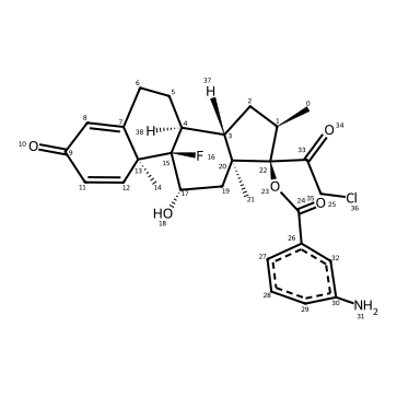 C[C@@H]1C[C@H]2[C@@H]3CCC4=CC(=O)C=C[C@]4(C)[C@@]3(F)[C@@H](O)C[C@]2(C)[C@@]1(OC(=O)c1cccc(N)c1)C(=O)CCl